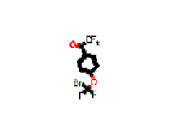 O=C(c1ccc(OC(F)(F)Br)cc1)C(F)(F)F